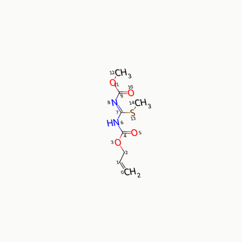 C=CCOC(=O)NC(=NC(=O)OC)SC